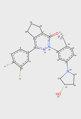 O=c1c2c(c(-c3ccc(F)c(F)c3)nn1-c1cc(N3CC[C@H](O)C3)ccc1C(F)(F)F)CCC2